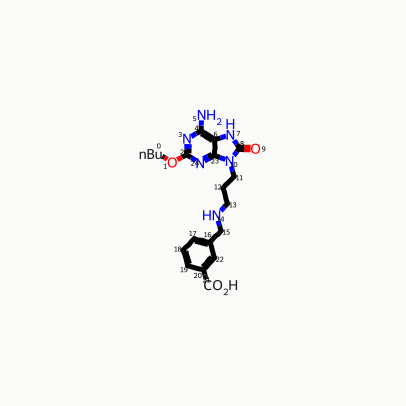 CCCCOc1nc(N)c2[nH]c(=O)n(CCCNCc3cccc(C(=O)O)c3)c2n1